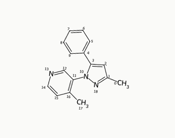 Cc1[c]c(-c2ccccc2)n(-c2cnccc2C)n1